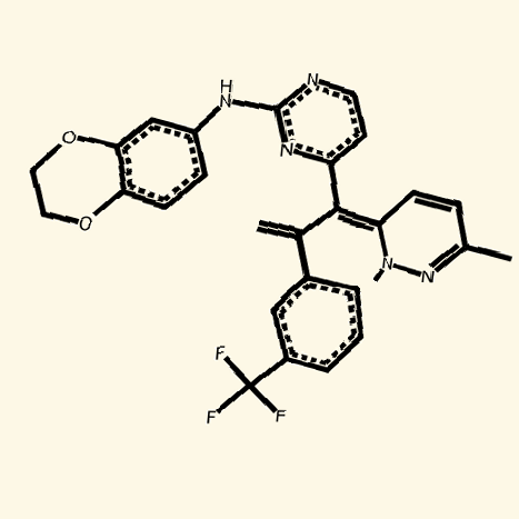 C=C(/C(=C1/C=CC(C)=NN1C)c1ccnc(Nc2ccc3c(c2)OCCO3)n1)c1cccc(C(F)(F)F)c1